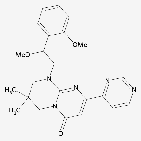 COc1ccccc1C(CN1CC(C)(C)Cn2c1nc(-c1ccncn1)cc2=O)OC